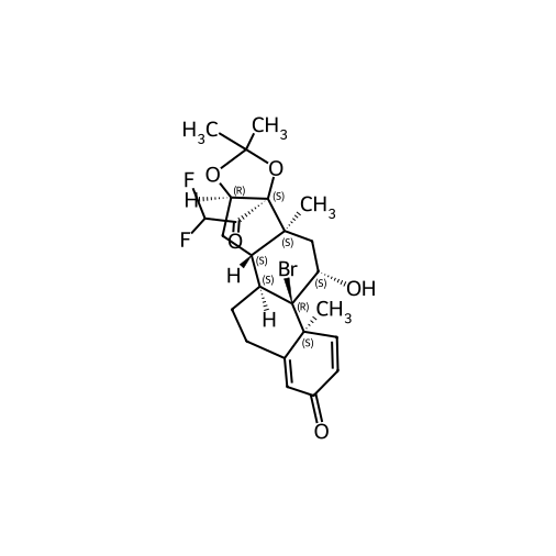 CC1(C)O[C@@H]2C[C@H]3[C@@H]4CCC5=CC(=O)C=C[C@]5(C)[C@@]4(Br)[C@@H](O)C[C@]3(C)[C@]2(C(=O)C(F)F)O1